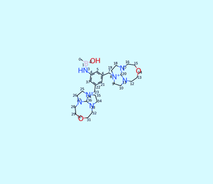 CB(O)Nc1cc(C[N+]23CCN4CCOCCN(CC2)C43)cc(C[N+]23CCN4CCOCCN(CC2)C43)c1